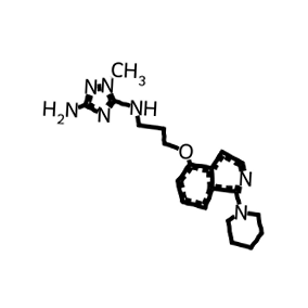 Cn1nc(N)nc1NCCCOc1cccc2c(N3CCCCC3)nccc12